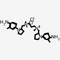 Cc1cc(N2CCCC2C[N+](C)(C)CCC[N+](C)(C)CC2CCCN2c2ccc(N)c(C)c2)ccc1N.[Cl-].[Cl-]